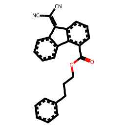 N#CC(C#N)=C1c2ccccc2-c2c(C(=O)OCCCc3ccccc3)cccc21